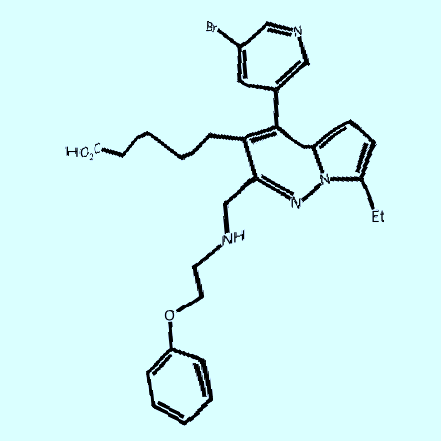 CCc1ccc2c(-c3cncc(Br)c3)c(CCCCC(=O)O)c(CNCCOc3ccccc3)nn12